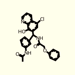 CC(=O)Nc1cccc(C(NC(=O)COc2ccccc2)c2cc(Cl)c3cccnc3c2O)c1